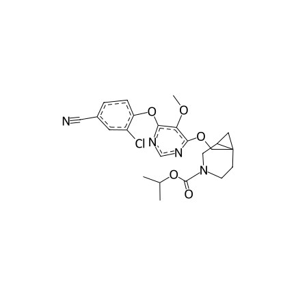 COc1c(OCC23CCN(C(=O)OC(C)C)CC2C3)ncnc1Oc1ccc(C#N)cc1Cl